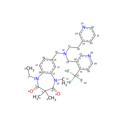 CCN1C(=O)C(C)(C)C(=O)N(C)c2cc(CN(CCc3cccnc3)Cc3cnccc3C(F)(F)F)ccc21